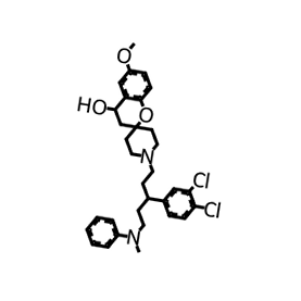 COc1ccc2c(c1)C(O)CC1(CCN(CCC(CCN(C)c3ccccc3)c3ccc(Cl)c(Cl)c3)CC1)O2